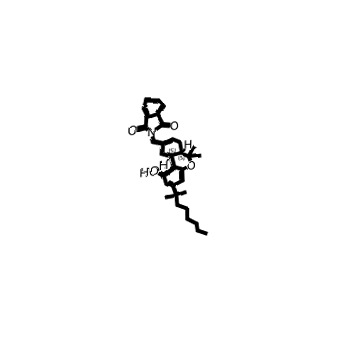 CCCCCCC(C)(C)c1cc(O)c2c(c1)OC(C)(C)[C@H]1CC=C(CN3C(=O)c4ccccc4C3=O)C[C@H]21